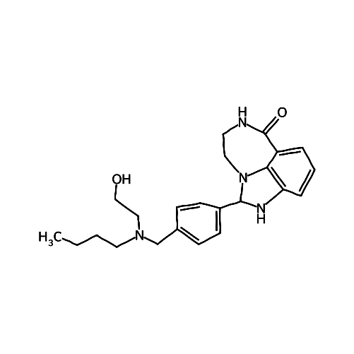 CCCCN(CCO)Cc1ccc(C2Nc3cccc4c3N2CCNC4=O)cc1